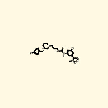 Cn1nnnc1-c1cc(Br)cc(NC(=O)NCCCN2CCC[C@@H](Cc3ccc(F)cc3)C2)c1